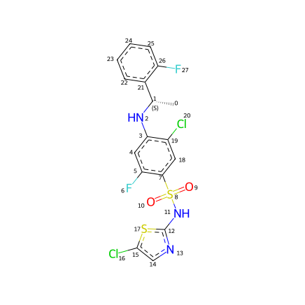 C[C@H](Nc1cc(F)c(S(=O)(=O)Nc2ncc(Cl)s2)cc1Cl)c1ccccc1F